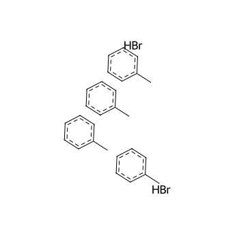 Br.Br.Cc1ccccc1.Cc1ccccc1.Cc1ccccc1.Cc1ccccc1